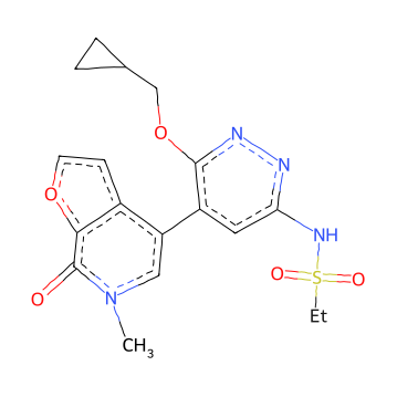 CCS(=O)(=O)Nc1cc(-c2cn(C)c(=O)c3occc23)c(OCC2CC2)nn1